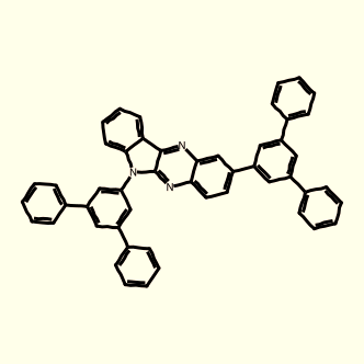 c1ccc(-c2cc(-c3ccccc3)cc(-c3ccc4nc5c(nc4c3)c3ccccc3n5-c3cc(-c4ccccc4)cc(-c4ccccc4)c3)c2)cc1